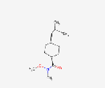 CON(C)C(=O)[C@H]1CC[C@@H](CC(C)C)CC1